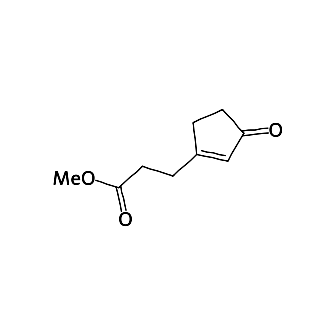 COC(=O)CCC1=CC(=O)CC1